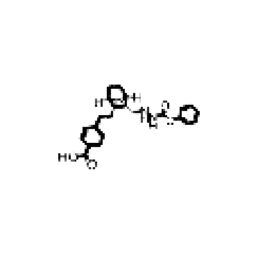 O=C(NNC[C@@H]1[C@@H](CCc2ccc(C(=O)O)cc2)[C@H]2CC[C@@H]1O2)Oc1ccccc1